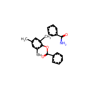 Cc1cc(C)c(OC(=O)c2ccccc2)c(C(C)(C)C)c1.NC(=O)c1ccccc1